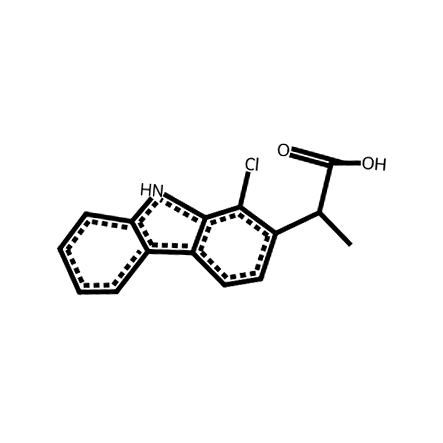 CC(C(=O)O)c1ccc2c([nH]c3ccccc32)c1Cl